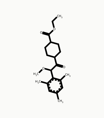 CCOC(=O)C1CCC(C(=O)C(OC)c2c(C)cc(C)cc2C)CC1